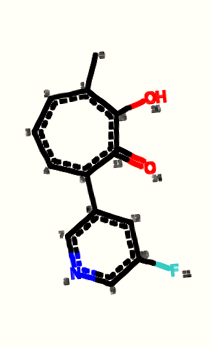 Cc1cccc(-c2cncc(F)c2)c(=O)c1O